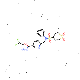 O=S1(=O)CCC(S(=O)(=O)N(Cc2ccc(C3=NNC(C(F)F)O3)cn2)c2ccccc2)CC1